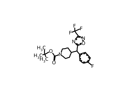 CC(C)(C)OC(=O)N1CCC(C(c2ccc(F)cc2)c2nc(C(F)(F)F)no2)CC1